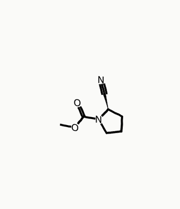 COC(=O)N1CCC[C@@H]1C#N